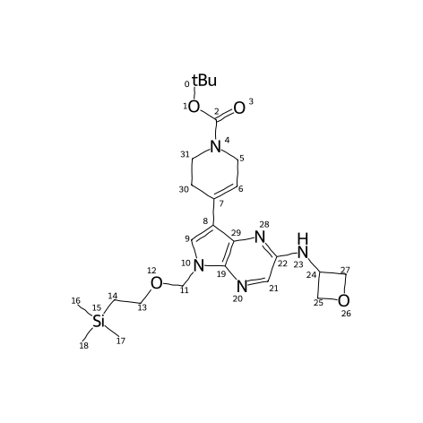 CC(C)(C)OC(=O)N1CC=C(c2cn(COCC[Si](C)(C)C)c3ncc(NC4COC4)nc23)CC1